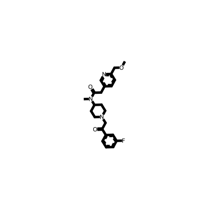 COCc1ccc(CC(=O)N(C)C2CCN(CC(=O)c3cccc(F)c3)CC2)cn1